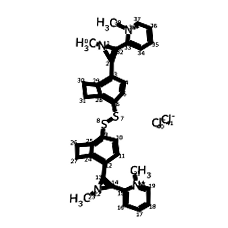 CN1C(c2ccc(SSc3ccc(C4=C(c5cccc[n+]5C)N4C)c4c3CC4)c3c2CC3)=C1c1cccc[n+]1C.[Cl-].[Cl-]